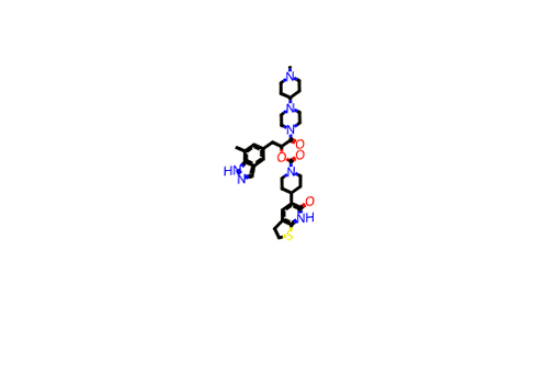 Cc1cc(CC(OC(=O)N2CCC(c3cc4c([nH]c3=O)SCC4)CC2)C(=O)N2CCN(C3CCN(C)CC3)CC2)cc2cn[nH]c12